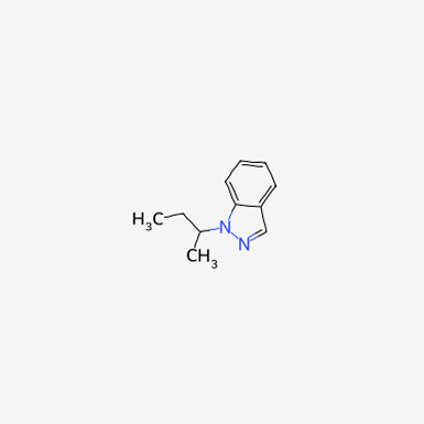 CCC(C)n1ncc2ccccc21